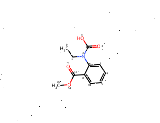 CCN(C(=O)O)c1ccccc1C(=O)OC